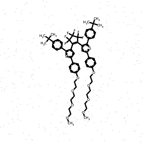 COCCOCCOCCOc1ccc(-c2cc(C3=C(c4cc(-c5ccc(OCCOCCOCCOC)cc5)sc4-c4ccc(C(C)(C)C)cc4)C(F)(F)C(F)(F)C3(F)F)c(-c3ccc(C(C)(C)C)cc3)s2)cc1